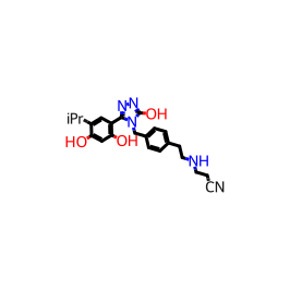 CC(C)c1cc(-c2nnc(O)n2Cc2ccc(CCNCCC#N)cc2)c(O)cc1O